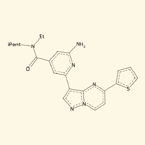 CCCC(C)N(CC)C(=O)c1cc(N)nc(-c2cnn3ccc(-c4cccs4)nc23)c1